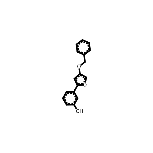 Oc1cccc(-c2cc(OCc3ccccc3)co2)c1